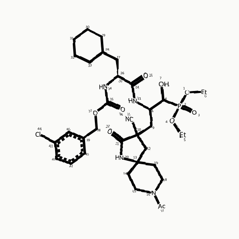 CCOP(=O)(OCC)C(O)C(CC1(C#N)CC2(CCN(C(C)=O)CC2)NC1=O)NC(=O)[C@H](CC1CCCCC1)NC(=O)OCc1cccc(Cl)c1